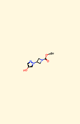 CCCCOC(=O)N1CC(n2cc(O)cn2)C1